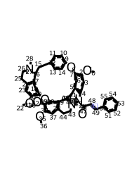 COc1cc2c3cc1Oc1ccc(cc1)CC1c4cc(c(OC)cc4CCN1C)Oc1c(OC)c(OC)cc4c1[C@H](C3)N(CC4)N2C(=O)/C=C/c1ccccc1